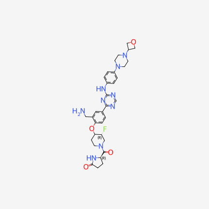 NCc1cc(-c2ncnc(Nc3ccc(N4CCN(C5COC5)CC4)cc3)n2)ccc1OC1CCN(C(=O)[C@H]2CCC(=O)N2)C[C@H]1F